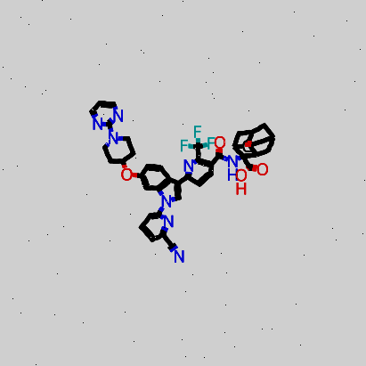 N#Cc1cccc(-n2cc(-c3ccc(C(=O)NC4(C(=O)O)C5CC6CC(C5)CC4C6)c(C(F)(F)F)n3)c3ccc(OC4CCN(c5ncccn5)CC4)cc32)n1